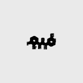 O=C(Nc1ccnc(Cl)c1)Nc1cccc(F)c1Br